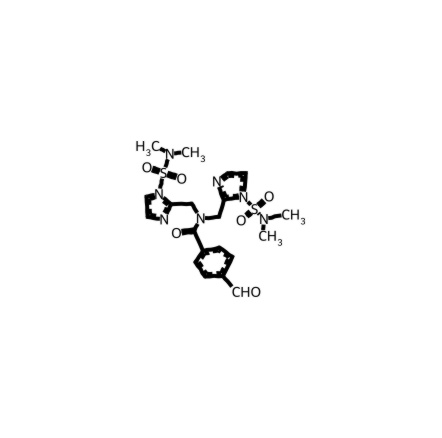 CN(C)S(=O)(=O)n1ccnc1CN(Cc1nccn1S(=O)(=O)N(C)C)C(=O)c1ccc(C=O)cc1